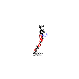 C#Cc1ccc(NC(=O)COCCOCCOCCOC)cc1